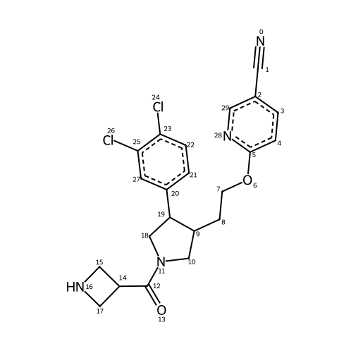 N#Cc1ccc(OCCC2CN(C(=O)C3CNC3)CC2c2ccc(Cl)c(Cl)c2)nc1